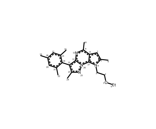 CCOCCn1c(C)cc2c(C)nc3c(-c4c(C)cc(C)cc4C)c(C)nn3c21